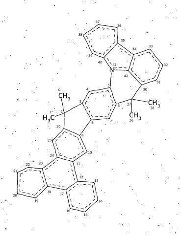 CC1(C)c2cc3c(cc2-c2cc4c5ccccc5c5ccccc5c4cc21)C(C)(C)c1cccc2c4ccccc4n-3c12